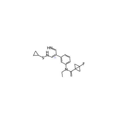 C=C(N(CC)c1cccc(/C(C=N)=C/NSC2CC2)c1)C12CC1(F)C2